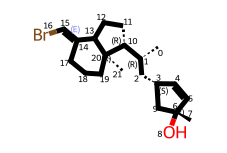 C[C@H](C[C@@H]1C=C[C@](C)(O)C1)[C@H]1CCC2/C(=C/Br)CCC[C@@]21C